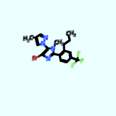 CCCc1cc(C(F)(F)F)ccc1-c1nc(Br)c(-n2cc(C)cn2)n1C